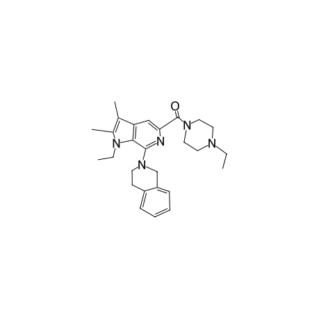 CCN1CCN(C(=O)c2cc3c(C)c(C)n(CC)c3c(N3CCc4ccccc4C3)n2)CC1